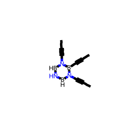 CC#CB1N(C#CC)BNBN1C#CC